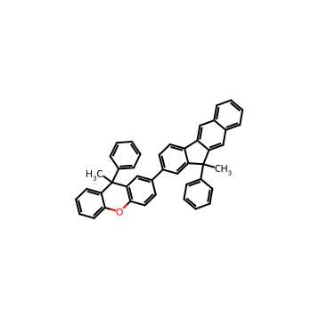 CC1(c2ccccc2)c2ccccc2Oc2ccc(-c3ccc4c(c3)C(C)(c3ccccc3)c3cc5ccccc5cc3-4)cc21